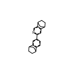 c1cc2c(cc1-c1cc3c(cn1)C1CCC3CC1)C1CCC2CC1